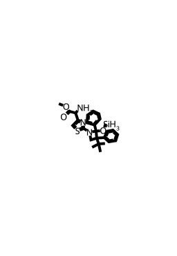 COC(=O)C(N)c1csc(N2CC(c3ccccc3)(C(C)(C)C)C2(O[SiH3])c2ccccc2)n1